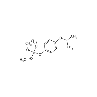 CO[Si](OC)(OC)Oc1ccc(OC(C)C)cc1